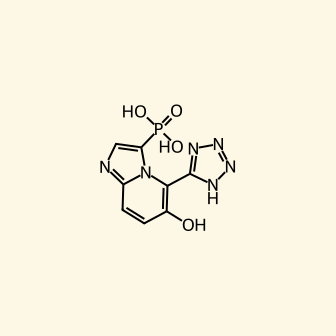 O=P(O)(O)c1cnc2ccc(O)c(-c3nnn[nH]3)n12